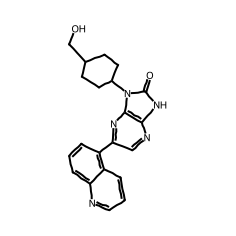 O=c1[nH]c2ncc(-c3cccc4ncccc34)nc2n1C1CCC(CO)CC1